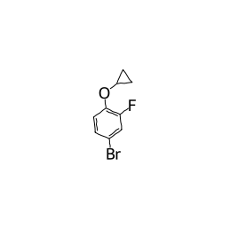 Fc1cc(Br)ccc1OC1CC1